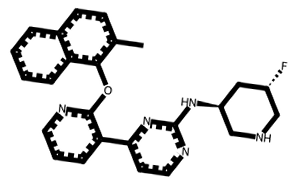 Cc1ccc2ccccc2c1Oc1ncccc1-c1ccnc(N[C@@H]2CNC[C@@H](F)C2)n1